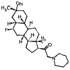 C[C@@]1(O)CC[C@@H]2[C@H]3CC[C@]4(C)[C@@H](C(=O)CN5CCCCC5)CC[C@H]4[C@@H]3C[C@@H](F)[C@@H]2C1